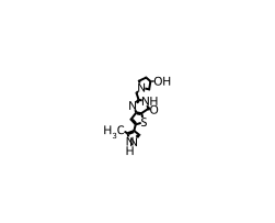 Cc1[nH]ncc1-c1cc2nc(CN3CC[C@@H](O)C3)[nH]c(=O)c2s1